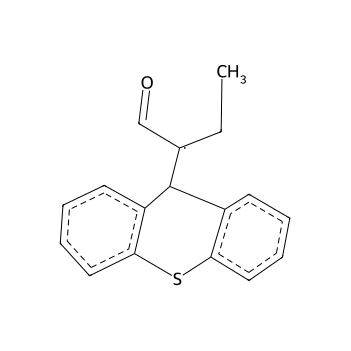 CC[C](C=O)C1c2ccccc2Sc2ccccc21